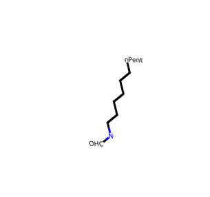 [CH2]CCCCCCCCCC[N]C=O